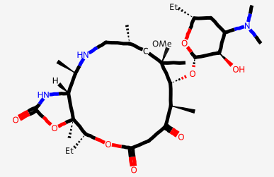 CC[C@@H]1CC(N(C)C)[C@@H](O)[C@H](O[C@@H]2[C@@H](C)C(=O)CC(=O)O[C@H](CC)[C@@]3(C)OC(=O)N[C@@H]3[C@@H](C)NC[C@H](C)C[C@@]2(C)OC)O1